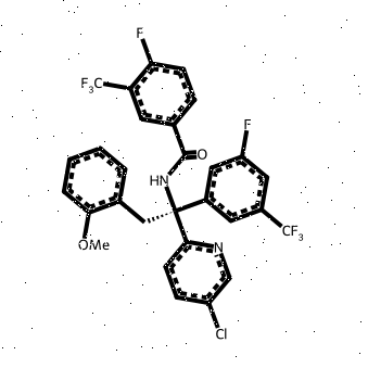 COc1ccccc1C[C@](NC(=O)c1ccc(F)c(C(F)(F)F)c1)(c1cc(F)cc(C(F)(F)F)c1)c1ccc(Cl)cn1